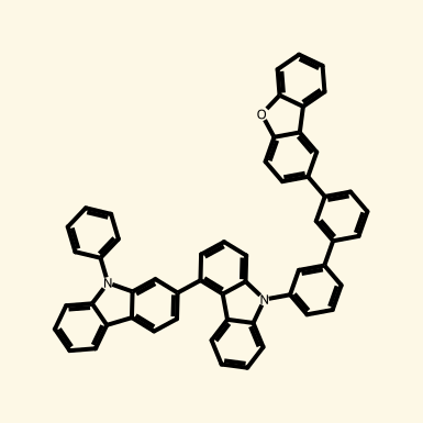 c1ccc(-n2c3ccccc3c3ccc(-c4cccc5c4c4ccccc4n5-c4cccc(-c5cccc(-c6ccc7oc8ccccc8c7c6)c5)c4)cc32)cc1